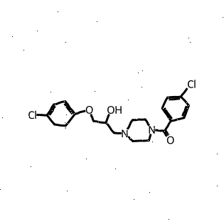 O=C(c1ccc(Cl)cc1)N1CCN(CC(O)COC2=CC=C(Cl)C[CH]2)CC1